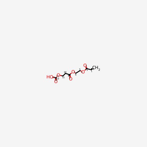 C=CC(=O)OCCOC(=O)CCOC(=O)O